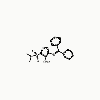 COc1c(N=C(c2ccccc2)c2ccccc2)csc1S(=O)(=O)N(C)C